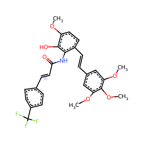 COc1ccc(C=Cc2cc(OC)c(OC)c(OC)c2)c(NC(=O)/C=C/c2ccc(C(F)(F)F)cc2)c1O